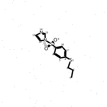 CCCSc1ccc(S(=O)(=O)n2ccnc2)cc1